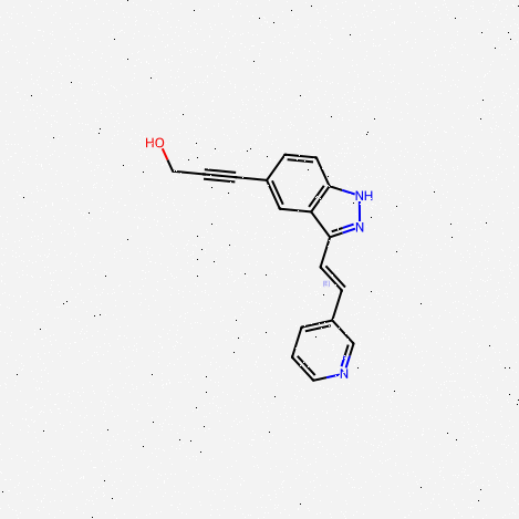 OCC#Cc1ccc2[nH]nc(/C=C/c3cccnc3)c2c1